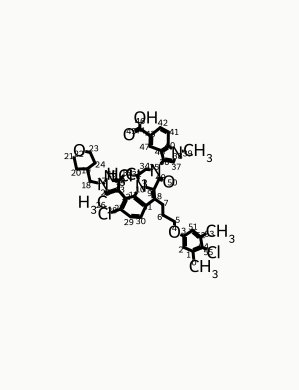 Cc1cc(OCCCc2c3n(c4c(-c5c(C)nn(CC6CCOCC6)c5C)c(Cl)ccc24)[C@H](C)CN(c2cn(C)c4ccc(C(=O)O)cc24)C3=O)cc(C)c1Cl